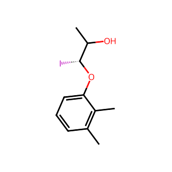 Cc1cccc(O[C@H](I)C(C)O)c1C